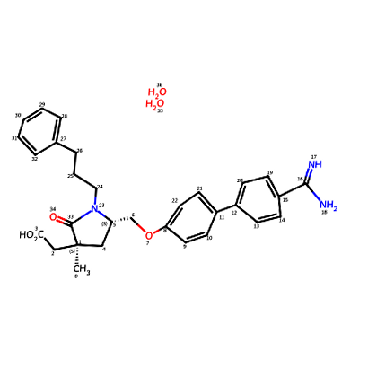 C[C@@]1(CC(=O)O)C[C@@H](COc2ccc(-c3ccc(C(=N)N)cc3)cc2)N(CCCc2ccccc2)C1=O.O.O